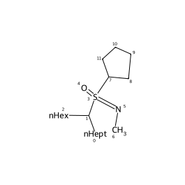 CCCCCCCC(CCCCCC)S(=O)(=NC)C1CCCC1